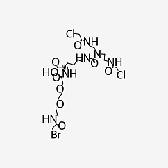 O=C(CCl)NCCN(CCNC(=O)CCl)C(=O)NCCCC[C@@H](NC(=O)COCCOCCNC(=O)CBr)C(=O)O